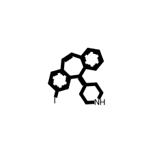 Ic1ccc2c(c1)C(=C1CCNCC1)c1ccccc1C=C2